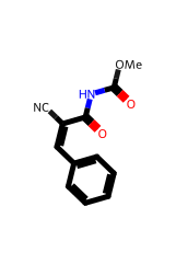 COC(=O)NC(=O)C(C#N)=Cc1ccccc1